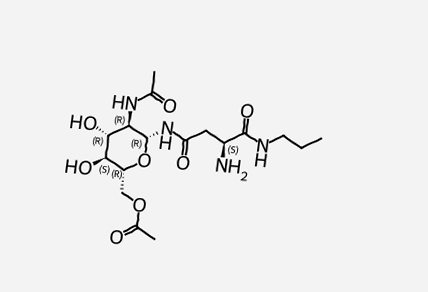 CCCNC(=O)[C@@H](N)CC(=O)N[C@@H]1O[C@H](COC(C)=O)[C@@H](O)[C@H](O)[C@H]1NC(C)=O